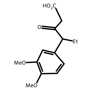 CCC(C(=O)CC(=O)O)c1ccc(OC)c(OC)c1